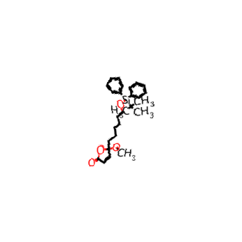 COC1(CCCCCCO[Si](c2ccccc2)(c2ccccc2)C(C)(C)C)C=CC(=O)O1